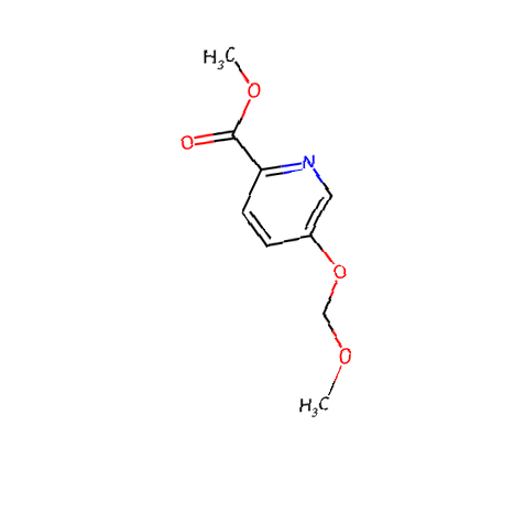 COCOc1ccc(C(=O)OC)nc1